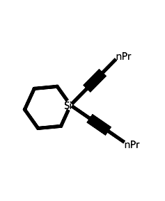 CCCC#C[Si]1(C#CCCC)CCCCC1